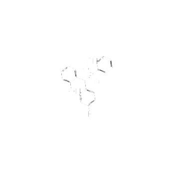 COP(=O)(c1ccccc1)C(c1ccc(F)cc1)c1ccccc1O